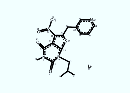 CC(C)Cn1c(=O)n(C)c(=O)c2c(S(=O)O)c(Cc3cccnc3)sc21.[Li]